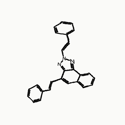 C(=Cc1cc2ccccc2c2nn(C=Cc3ccccc3)nc12)c1ccccc1